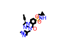 CC#C[C@@H]1CN=C2N(Cc3cnn(C)c3)C(=O)c3cc(S(=O)(=O)NC4(C)CC4)ccc3N21